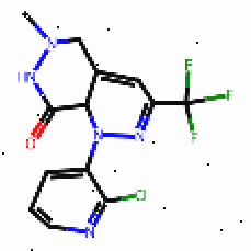 CN1CC2=CC(C(F)(F)F)=NN(c3cccnc3Cl)C2C(=O)N1